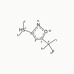 C[SH](C)c1cc(C(C)(C)F)on1